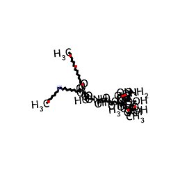 CCCCCCCC/C=C\CCCCCCCC(=O)O[C@H](COC(=O)CCCCCCCCCCCCCCC)COP(=O)(O)OCCNC(=O)CCC(=O)NCC(=O)OC[C@H](N)C(=O)N(CC(C)O[C@H]1[C@H](O)[C@@H](CO)O[C@H](O)[C@@H]1NC(C)=O)[C@@H](CC(C(=O)O)C(=O)O)C(=O)NCC(N)=O